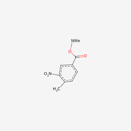 CNOC(=O)c1ccc(C)c([N+](=O)[O-])c1